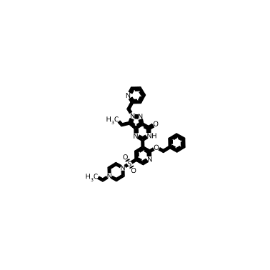 CCc1c2nc(-c3cc(S(=O)(=O)N4CCN(CC)CC4)cnc3OCc3ccccc3)[nH]c(=O)c2nn1Cc1ccccn1